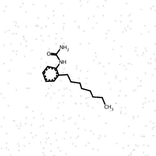 CCCCCCCCc1ccccc1NC(N)=O